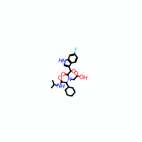 CC(C)NC(=O)[C@@H](C1CCCCC1)N(CC(=O)O)C(=O)C(=O)c1c[nH]c2cc(F)ccc12